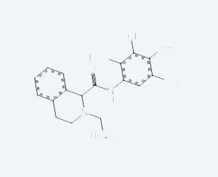 Cc1cc(NC(=O)C2c3ccccc3CCN2CC(C)(C)C)c(C)c(C)c1O.Cl